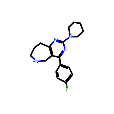 Fc1ccc(-c2nc(N3CCCCC3)nc3c2CNCCC3)cc1